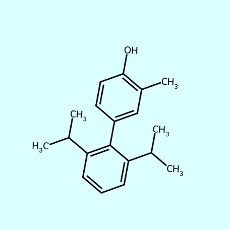 Cc1cc(-c2c(C(C)C)cccc2C(C)C)ccc1O